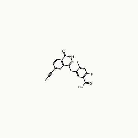 CC#Cc1ccc2c(=O)[nH]nc(Cc3cc(C(=O)O)c(F)cc3F)c2c1